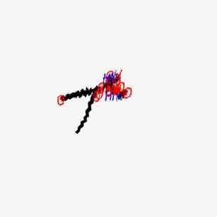 CCCCCCCCCCCCCC(=O)[C@H](CCCCCCCCCCCCC=O)CC(=O)OC[C@H]1OC(O)[C@H](NC(C)=O)[C@H](OC(C)C(=O)N[C@@H](C)[C]=O)[C@@H]1O